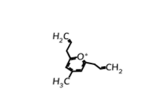 C=CCc1cc(C)cc(CC=C)[o+]1